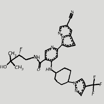 CC(C)(O)[C@H](F)CNC(=O)c1cnc(-c2ccc3cc(C#N)cnn23)cc1NC1CCC(n2cc(C(F)(F)F)cn2)CC1